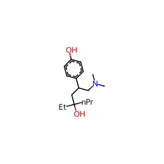 CCCC(O)(CC)CC(CN(C)C)c1ccc(O)cc1